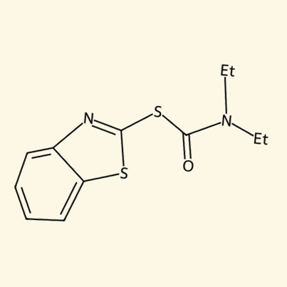 CCN(CC)C(=O)Sc1nc2ccccc2s1